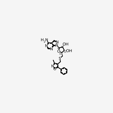 Cc1noc(-c2ccccc2)c1CSC[C@H]1O[C@@H](n2ncc3c(N)ncnc32)[C@H](O)[C@@H]1O